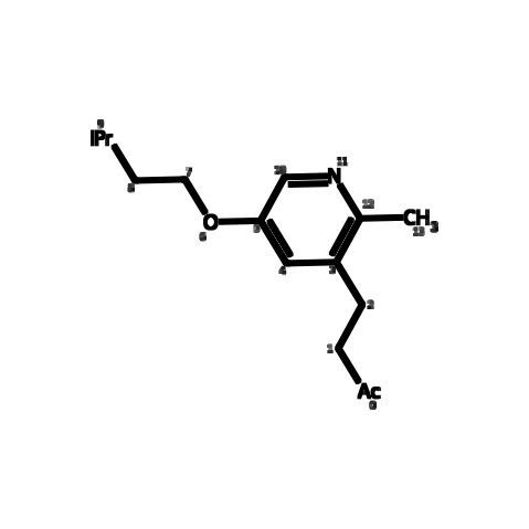 CC(=O)CCc1cc(OCCC(C)C)cnc1C